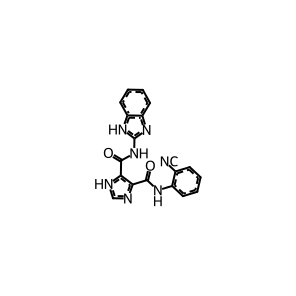 N#Cc1ccccc1NC(=O)c1nc[nH]c1C(=O)Nc1nc2ccccc2[nH]1